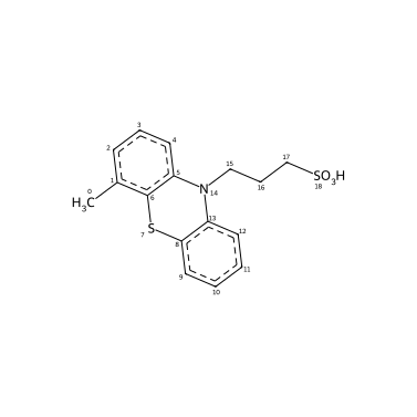 Cc1cccc2c1Sc1ccccc1N2CCCS(=O)(=O)O